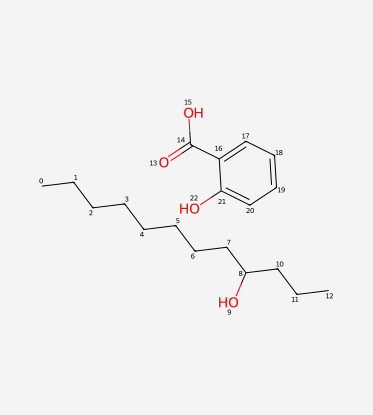 CCCCCCCCC(O)CCC.O=C(O)c1ccccc1O